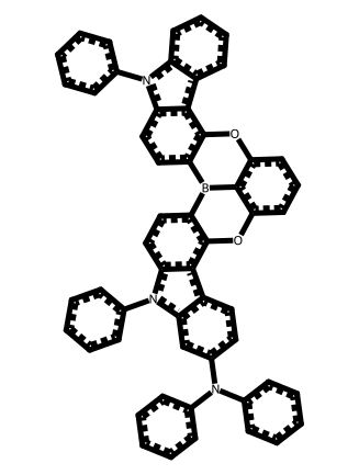 c1ccc(N(c2ccccc2)c2ccc3c4c5c(ccc4n(-c4ccccc4)c3c2)B2c3ccc4c(c3Oc3cccc(c32)O5)c2ccccc2n4-c2ccccc2)cc1